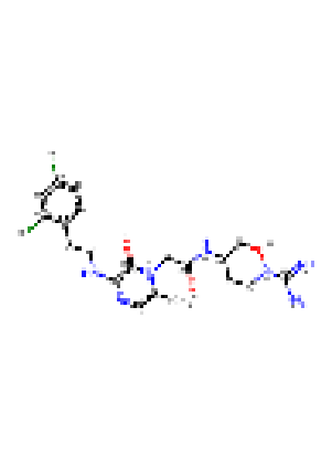 Cc1cnc(NCCc2ccc(F)cc2F)c(=O)n1CC(=O)NC1CCN(C(=N)N)OC1